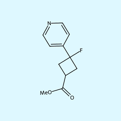 COC(=O)C1CC(F)(c2ccncc2)C1